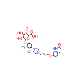 O=C1CCc2ccc(OCCCCN3CCN(c4ccc(O[C@@H]5O[C@H](C(=O)O)[C@@H](O)[C@H](O)[C@H]5O)c(Cl)c4Cl)CC3)cc2N1